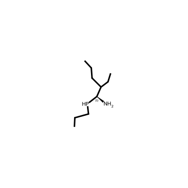 CCCP[C@H](N)C(CC)CCC